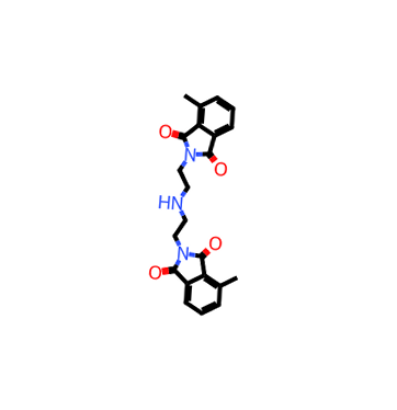 Cc1cccc2c1C(=O)N(CCNCCN1C(=O)c3cccc(C)c3C1=O)C2=O